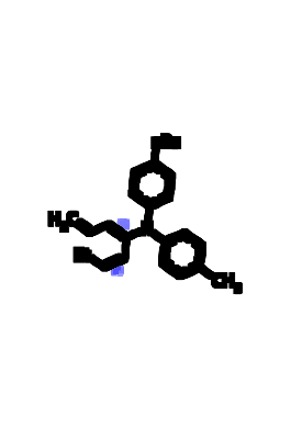 C=C/C=C(\C=C/CC)N(c1ccc(C)cc1)c1ccc(CCCC)cc1